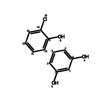 Oc1cccc(O)c1.Oc1ccccc1Cl